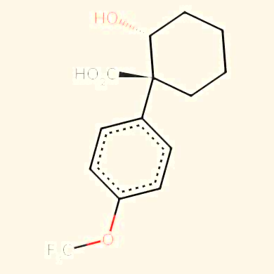 O=C(O)[C@]1(c2ccc(OC(F)(F)F)cc2)CCCC[C@H]1O